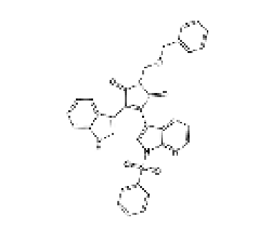 O=C1C(c2c[nH]c3ccccc23)=C(c2cn(S(=O)(=O)c3ccccc3)c3ncccc23)C(=O)N1COCc1ccccc1